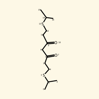 CC(C)SCCC(=O)CC(=O)CCSC(C)C